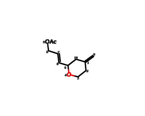 C=C1CCOC(C=CCOC(C)=O)C1